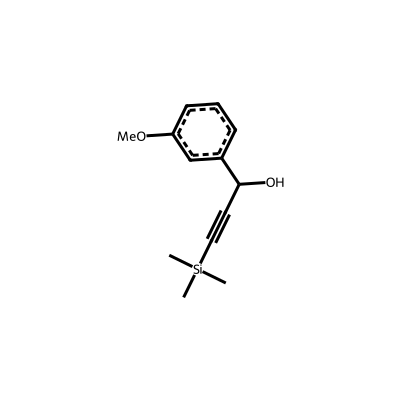 COc1cccc(C(O)C#C[Si](C)(C)C)c1